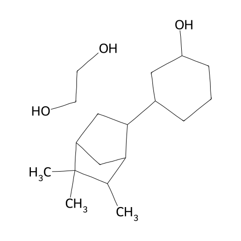 CC1C2CC(CC2C2CCCC(O)C2)C1(C)C.OCCO